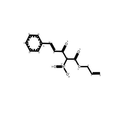 C=CCOC(=O)C(C(=O)C=Cc1ccccc1)[N+](=O)[O-]